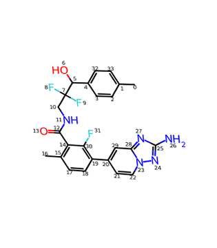 Cc1ccc(C(O)C(F)(F)CNC(=O)c2c(C)ccc(-c3ccn4nc(N)nc4c3)c2F)cc1